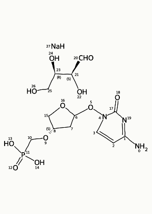 Nc1ccn(OC2C[C@H](OCP(=O)(O)O)CO2)c(=O)n1.O=C[C@@H](O)[C@H](O)CO.[NaH]